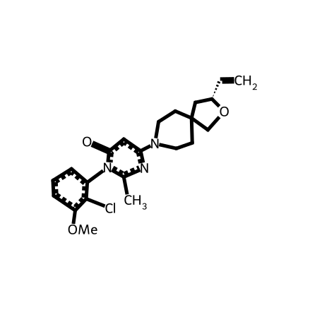 C=C[C@H]1CC2(CCN(c3cc(=O)n(-c4cccc(OC)c4Cl)c(C)n3)CC2)CO1